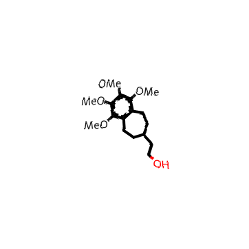 COc1c2c(c(OC)c(OC)c1OC)CCC(CCO)CC2